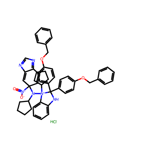 Cl.O=[N+]([O-])C1(N(C2CCCC2)[N+]2(C3CCCC3)c3ccccc3NC2(c2ccc(OCc3ccccc3)cc2)c2ccc(OCc3ccccc3)cc2)C=CC2=NC=NC2=C1